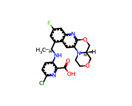 C[C@@H](Nc1ccc(Cl)nc1C(=O)O)c1cc(F)cc2nc3c(cc12)N1CCOC[C@H]1CO3